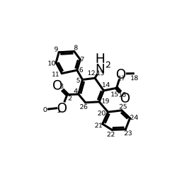 COC(=O)C1=C(c2ccccc2)C(N)C(C(=O)OC)=C(c2ccccc2)C1